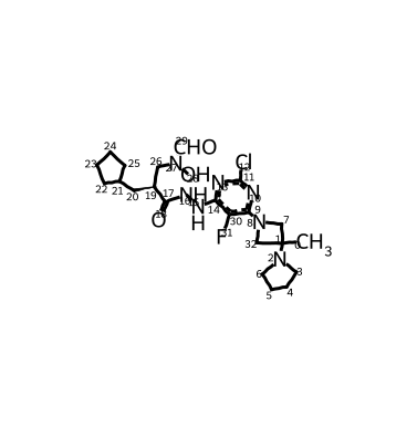 CC1(N2CCCC2)CN(c2nc(Cl)nc(NNC(=O)[C@@H](CC3CCCC3)CN(O)C=O)c2F)C1